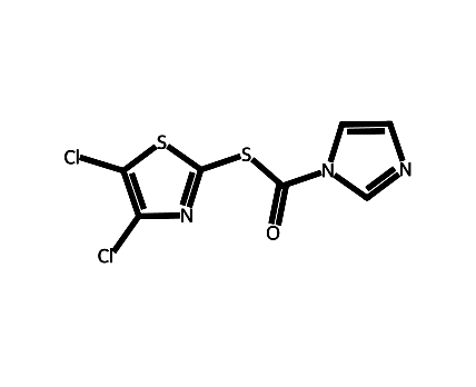 O=C(Sc1nc(Cl)c(Cl)s1)n1ccnc1